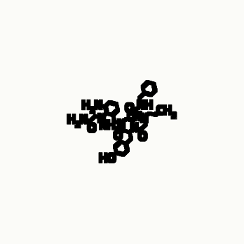 C=CCN1CC(=O)N2[C@@H](Cc3ccc(O)cc3)C(=O)N(Cc3cccc(N)c3N(N)CC(N)=O)C[C@@H]2N1C(=O)NCc1ccccc1